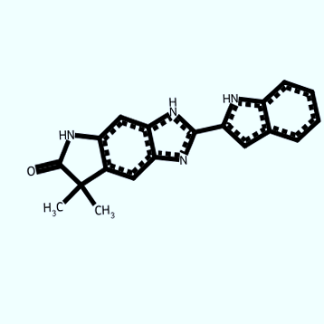 CC1(C)C(=O)Nc2cc3[nH]c(-c4cc5ccccc5[nH]4)nc3cc21